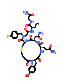 CC(C)C[C@H](NC(=O)CN(Cc1ccc(F)cc1)C(=O)[C@@H]1CSCCCC(=O)N[C@@H](Cc2ccc(O)cc2)C(=O)CN[C@@H](CCC(N)=O)C(=O)N[C@@H](CC(N)=O)C(=O)N1)C(=O)NCC(N)=O